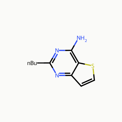 CCCCc1nc(N)c2sccc2n1